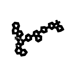 CC1(C)c2ccccc2-c2cc(-c3ccc(-c4ccc(-c5ccc(-c6cc7c(sc8ccc9ccccc9c87)c7nc8c9ccc%10ccccc%10c9ccc8n67)cc5)c5ccccc45)cc3)ccc21